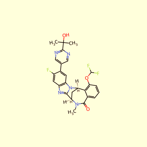 CN1C(=O)c2cccc(OC(F)F)c2[C@H]2C[C@@H]1c1nc3cc(F)c(-c4cnc(C(C)(C)O)nc4)cc3n12